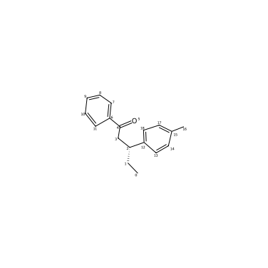 CC[C@H](CC(=O)c1ccccc1)c1ccc(C)cc1